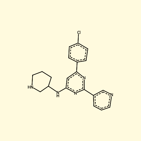 Clc1ccc(-c2cc(NC3CCCNC3)nc(-c3cccnc3)n2)cc1